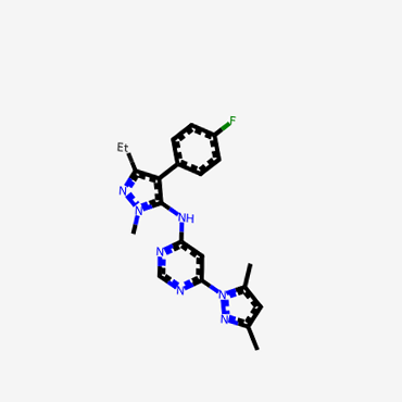 CCc1nn(C)c(Nc2cc(-n3nc(C)cc3C)ncn2)c1-c1ccc(F)cc1